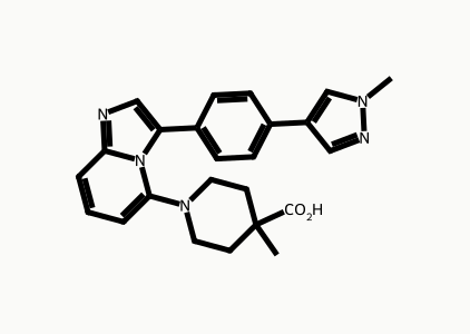 Cn1cc(-c2ccc(-c3cnc4cccc(N5CCC(C)(C(=O)O)CC5)n34)cc2)cn1